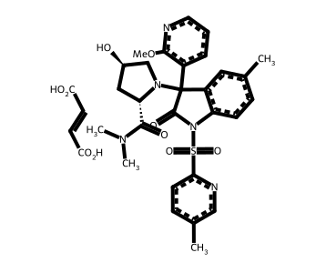 COc1ncccc1C1(N2C[C@H](O)C[C@H]2C(=O)N(C)C)C(=O)N(S(=O)(=O)c2ccc(C)cn2)c2ccc(C)cc21.O=C(O)/C=C/C(=O)O